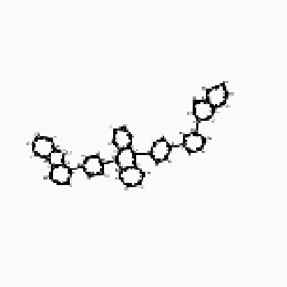 c1cc(-c2ccc(-c3c4ccccc4c(-c4ccc(-c5cccc6c5oc5ccccc56)cc4)c4ccccc34)cc2)cc(-c2ccc3ccccc3c2)c1